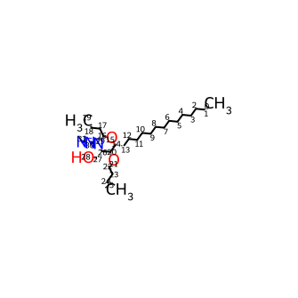 CCCCCCCCCCCCCC[C@@H](OCCCC)[C@@H](OCCCC)[C@H](CO)N=[N+]=[N-]